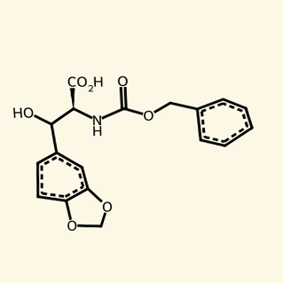 O=C(N[C@H](C(=O)O)C(O)c1ccc2c(c1)OCO2)OCc1ccccc1